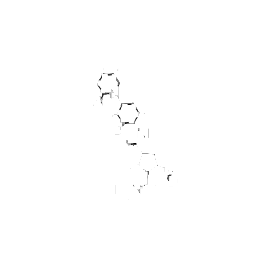 CCOC1CC(C(=O)Nc2ccc(-n3ccccc3=O)cc2F)CC1CN